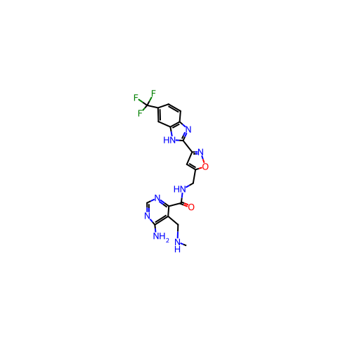 CNCc1c(N)ncnc1C(=O)NCc1cc(-c2nc3ccc(C(F)(F)F)cc3[nH]2)no1